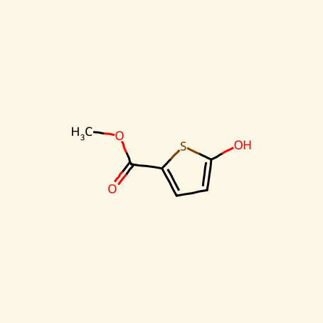 COC(=O)c1ccc(O)s1